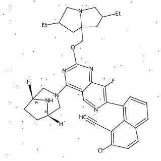 C#Cc1c(Cl)ccc2cccc(-c3ncc4c(N5C[C@H]6CC[C@@H](C5)N6)nc(OCC56CC(CC)CN5CC(CC)C6)nc4c3F)c12